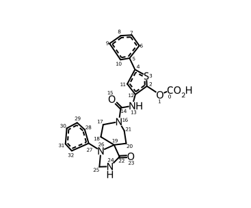 O=C(O)Oc1sc(-c2ccccc2)cc1NC(=O)N1CCC2(CC1)C(=O)NCN2c1ccccc1